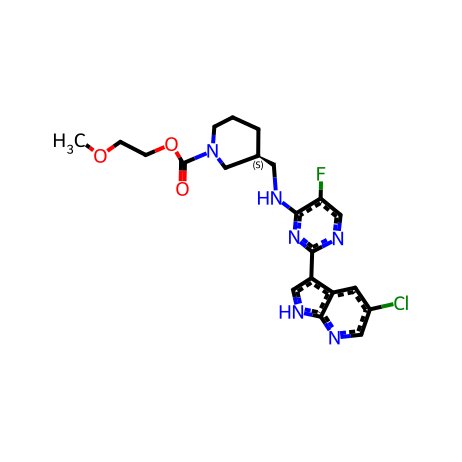 COCCOC(=O)N1CCC[C@@H](CNc2nc(-c3c[nH]c4ncc(Cl)cc34)ncc2F)C1